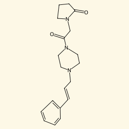 O=C(CN1CCCC1=O)N1CCN(CC=Cc2ccccc2)CC1